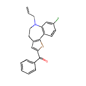 C=CCN1CCc2cc(C(=O)c3ccccc3)sc2-c2ccc(F)cc21